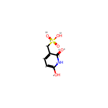 O=c1[nH]c(O)ccc1CS(=O)(=O)O